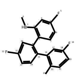 CBc1cc(F)ccc1-c1cc(F)ccc1-c1cc(F)ccc1C